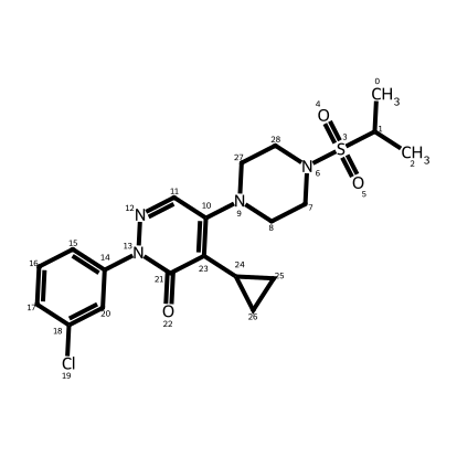 CC(C)S(=O)(=O)N1CCN(c2cnn(-c3cccc(Cl)c3)c(=O)c2C2CC2)CC1